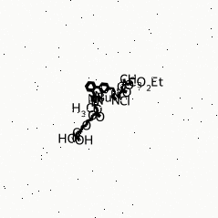 CCCCc1nc(Cl)c(C(=O)OC(C)OC(=O)OCC)n1Cc1ccc(-c2ccccc2-c2nnn(C(C)OC(=O)OCCOCCON(O)O)n2)cc1